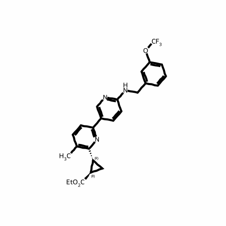 CCOC(=O)[C@@H]1C[C@H]1c1nc(-c2ccc(NCc3cccc(OC(F)(F)F)c3)nc2)ccc1C